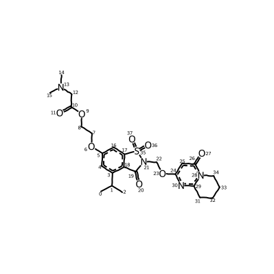 CC(C)c1cc(OCCOC(=O)CN(C)C)cc2c1C(=O)N(COc1cc(=O)n3c(n1)CCCC3)S2(=O)=O